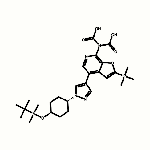 CC(C)(C)[Si](C)(C)O[C@H]1CC[C@H](n2cc(-c3cnc(N(C(=O)O)C(=O)O)c4o[c]([Sn]([CH3])([CH3])[CH3])cc34)cn2)CC1